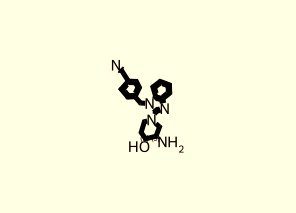 N#Cc1ccc(Cn2c(N3CC[C@H](O)[C@@H](N)C3)nc3ccccc32)cc1